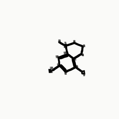 CN1CCCc2c(Cl)cc(Br)cc21